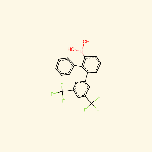 OB(O)c1cccc(-c2cc(C(F)(F)F)cc(C(F)(F)F)c2)c1-c1ccccc1